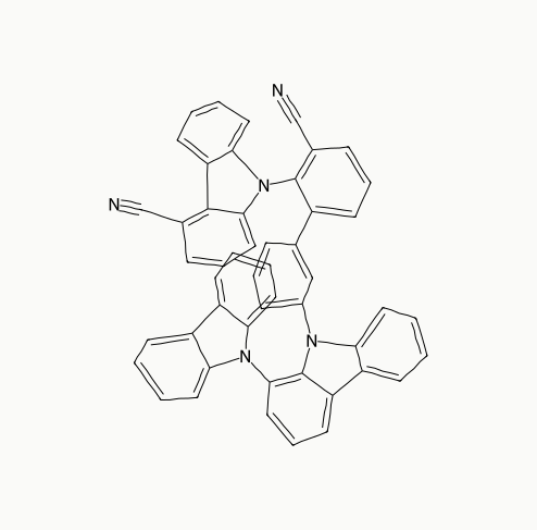 N#Cc1cccc(-c2cccc(-n3c4ccccc4c4cccc(-n5c6ccccc6c6ccccc65)c43)c2)c1-n1c2ccccc2c2c(C#N)cccc21